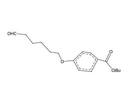 CC(C)COC(=O)c1ccc(OCCCCCC=O)cc1